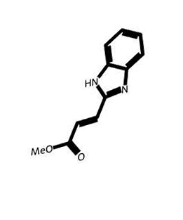 COC(=O)C=Cc1nc2ccccc2[nH]1